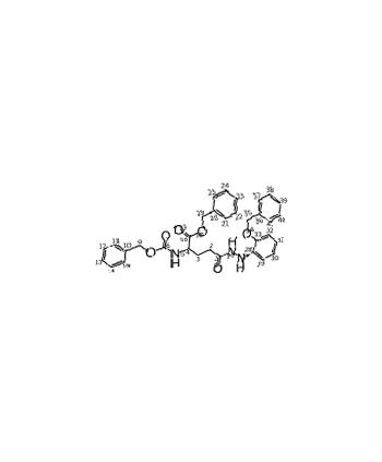 O=C(CCC(NC(=O)OCc1ccccc1)C(=O)OCc1ccccc1)NNc1ccccc1OCc1ccccc1